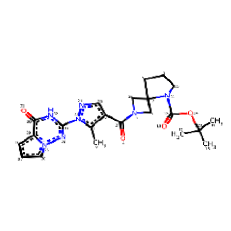 Cc1c(C(=O)N2CC3(CCCN3C(=O)OC(C)(C)C)C2)cnn1-c1nn2cccc2c(=O)[nH]1